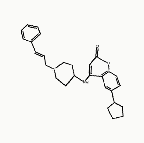 O=c1cc(NC2CCN(CC=Cc3ccccc3)CC2)c2cc(C3CCCC3)ccc2o1